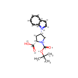 CC(C)(C)OC(=O)N1C[C@@H](n2ccc3ccccc32)C[C@H]1C(=O)O